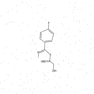 C/N=C(\SC(=N)CO)c1ccc(F)cc1